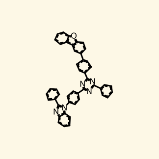 c1ccc(-c2nc(-c3ccc(-c4ccc5oc6ccccc6c5c4)cc3)nc(-c3ccc(-n4c(-c5ccccc5)nc5ccccc54)cc3)n2)cc1